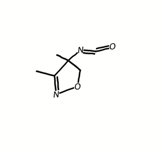 CC1=NOCC1(C)N=C=O